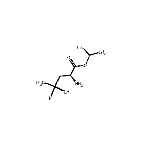 CC(C)OC(=O)[C@@H](N)CC(C)(C)F